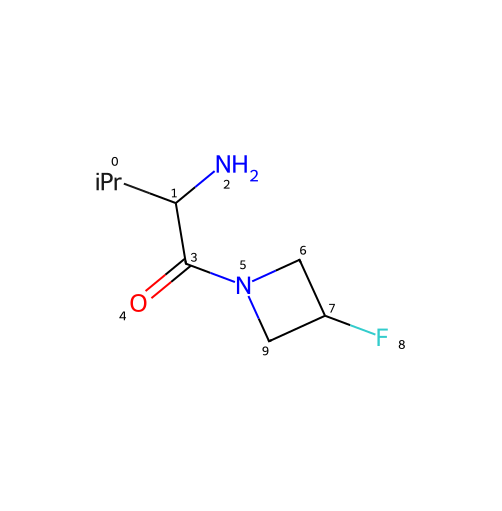 CC(C)C(N)C(=O)N1CC(F)C1